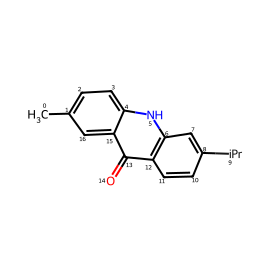 Cc1ccc2[nH]c3cc(C(C)C)ccc3c(=O)c2c1